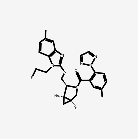 Cc1ccc(-n2nccn2)c(C(=O)N2C[C@H]3C[C@H]3[C@H]2CSc2nc3cc(C)ccc3n2CCF)c1